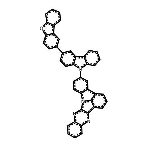 c1ccc2nc3c(nc2c1)c1cccc2c4cc(-n5c6ccccc6c6cc(-c7ccc8oc9ccccc9c8c7)ccc65)ccc4n3c21